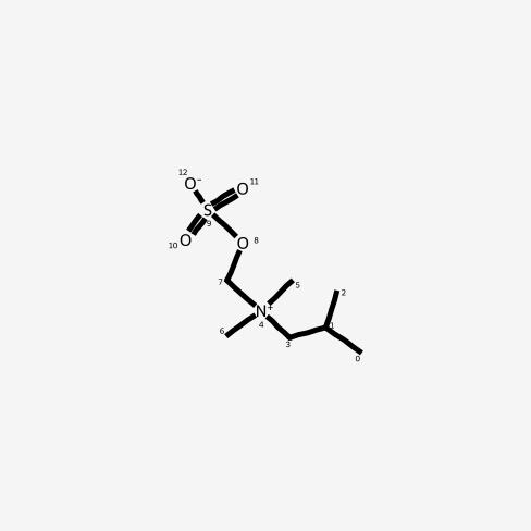 CC(C)C[N+](C)(C)COS(=O)(=O)[O-]